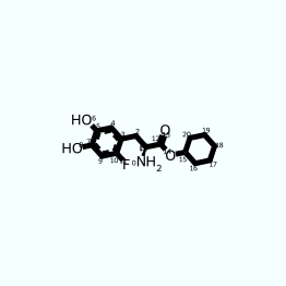 N[C@@H](Cc1cc(O)c(O)cc1F)C(=O)OC1CCCCC1